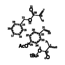 C=C(C)C(=O)OC(C)(C)C.C=C(C)C(=O)OCc1ccccc1.C=Cc1ccc(OC(C)=O)cc1